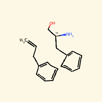 C=CCc1ccccc1.N[C@H](CO)Cc1ccccc1